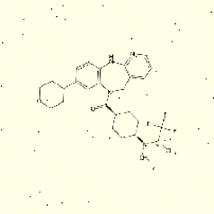 C[C@H](N(C)[C@H]1CC[C@@H](C(=O)N2Cc3cccnc3Nc3ccc(C4CCOCC4)cc32)CC1)C(F)(F)F